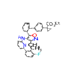 CCOC(=O)C1(c2ccc(-c3ccccc3-c3onc(C)c3Nc3cccc(-c4cccc(F)c4C)n3)cc2)CC1